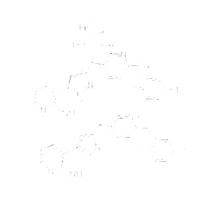 CP(=O)(O)O.Nc1ncccc1-c1cc(Cc2ccc(Oc3cccc(F)c3)nc2)no1.Nc1ncccc1-c1cc(Cc2ccc(Oc3cccc(F)c3)nc2)no1